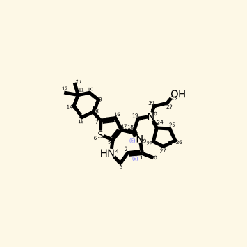 CC1=C\CNc2sc(C3CCC(C)(C)CC3)cc2/C(CN(CCO)C2CCCC2)=N\1